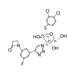 O=C1CCN1c1cc(F)cc(-c2cn([C@H]3[C@@H](O)[C@@H](CO)O[C@@H](Sc4ccc(Cl)c(Cl)c4)[C@@H]3O)nn2)c1